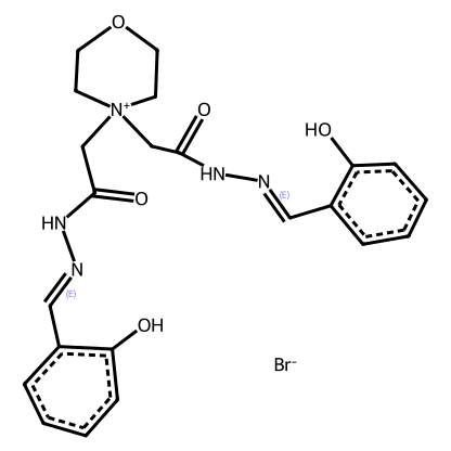 O=C(C[N+]1(CC(=O)N/N=C/c2ccccc2O)CCOCC1)N/N=C/c1ccccc1O.[Br-]